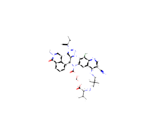 C=C(CC)n1cc([C@H](c2cccc3c(=O)n(C)ccc23)N(C(=O)OCOC(=O)C(N)C(C)C)c2cc(Cl)c3ncc(C#N)c(NCC(C)(C)C)c3c2)nn1